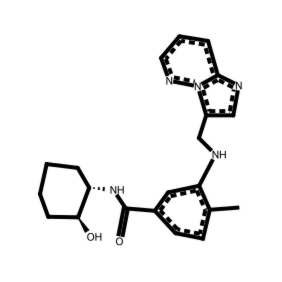 Cc1ccc(C(=O)N[C@H]2CCCC[C@@H]2O)cc1NCc1cnc2cccnn12